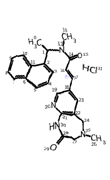 CC(c1cccc2ccccc12)N(C)C(=O)/C=C/c1cnc2c(c1)CN(C)CC(=O)N2.Cl